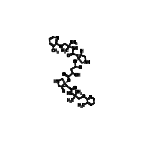 Cc1cccnc1OCC(C)(C)NC(=O)[C@H]1[C@@H]2CNC[C@]21OC(=O)CC(O)C(=O)O[C@@]12CNC[C@H]1[C@@H]2C(=O)NC(C)(C)COc1ncccc1C